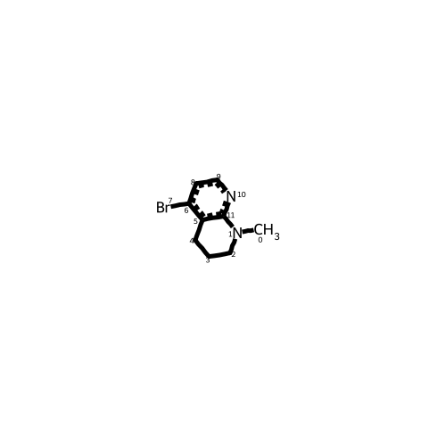 CN1CCCc2c(Br)ccnc21